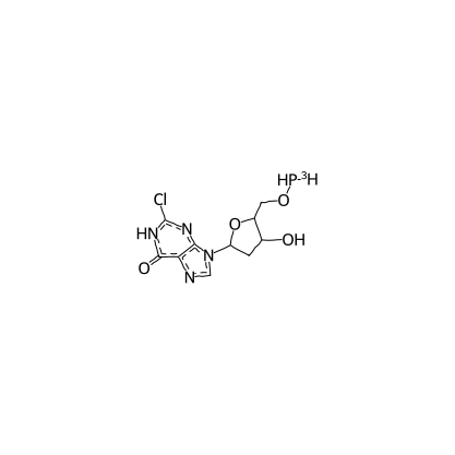 [3H]POCC1OC(n2cnc3c(=O)[nH]c(Cl)nc32)CC1O